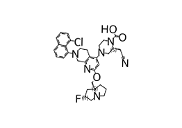 N#CC[C@H]1CN(c2cc(OC[C@@]34CCCN3C[C@H](F)C4)nc3c2CCN(c2cccc4cccc(Cl)c24)C3)CCN1C(=O)O